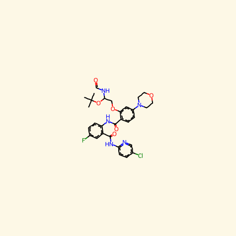 CC(C)(C)OC(COc1cc(N2CCOCC2)ccc1C(=O)Nc1ccc(F)cc1C(=O)Nc1ccc(Cl)cn1)NC=O